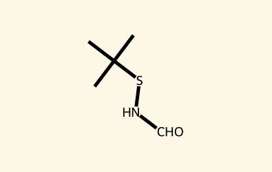 CC(C)(C)SNC=O